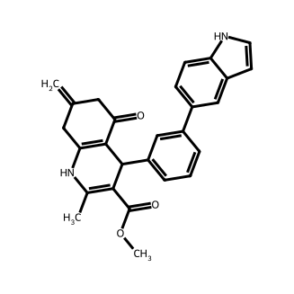 C=C1CC(=O)C2=C(C1)NC(C)=C(C(=O)OC)C2c1cccc(-c2ccc3[nH]ccc3c2)c1